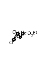 CCOC(=O)c1cncc(C2=C(c3ccc(Cl)cc3OCc3ccc(Cl)cc3)CCC2)c1